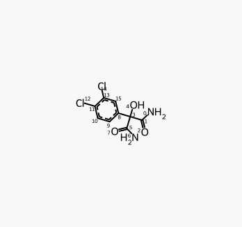 NC(=O)C(O)(C(N)=O)c1ccc(Cl)c(Cl)c1